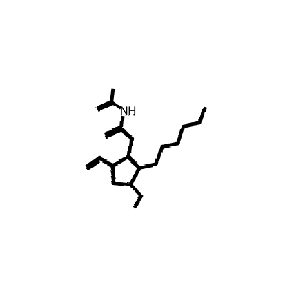 C=CC1CC(CC)C(CCCCCC)C1CC(=C)NC(=C)C